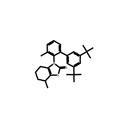 Cc1cccc(-c2cc(C(C)(C)C)cc(C(C)(C)C)c2)c1-n1c2c(sc1=S)C(C)CCC2